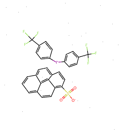 FC(F)(F)c1ccc([I+]c2ccc(C(F)(F)F)cc2)cc1.O=S(=O)([O-])c1ccc2ccc3cccc4ccc1c2c34